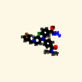 CC(C)N(C(=O)c1ccc(N(c2cc(C(N)=O)ccc2F)C2CCN(Cc3ccsc3)CC2)cc1)C(C)C